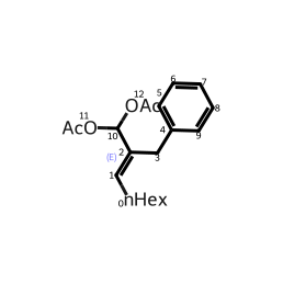 CCCCCC/C=C(\Cc1ccccc1)C(OC(C)=O)OC(C)=O